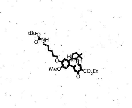 CCOC(=O)c1cn2c(cc1=O)-c1cc(OC)c(OCCCCCCNC(=O)OC(C)(C)C)cc1[C@H]1CCC(C)(C)[C@H]12